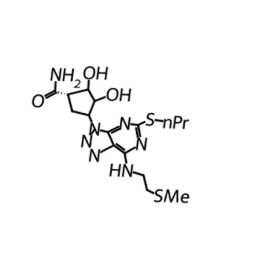 CCCSc1nc(NCCSC)c2nnn(C3C[C@H](C(N)=O)C(O)C3O)c2n1